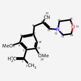 C=C(C)c1c(OC)cc(CC(C#N)=CN2CCOCC2)cc1OC